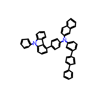 c1ccc(-c2ccc(-c3cccc(N(c4ccc(-c5cccc6c5c5ccccc5n6-c5ccccc5)cc4)c4ccc5ccccc5c4)c3)cc2)cc1